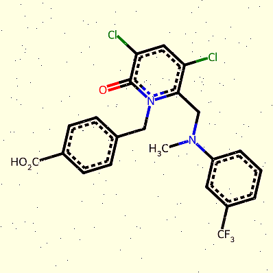 CN(Cc1c(Cl)cc(Cl)c(=O)n1Cc1ccc(C(=O)O)cc1)c1cccc(C(F)(F)F)c1